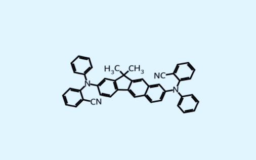 CC1(C)c2cc(N(c3ccccc3)c3ccccc3C#N)ccc2-c2cc3ccc(N(c4ccccc4)c4ccccc4C#N)cc3cc21